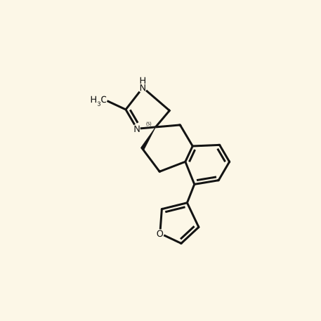 CC1=N[C@]2(CCc3c(cccc3-c3ccoc3)C2)CN1